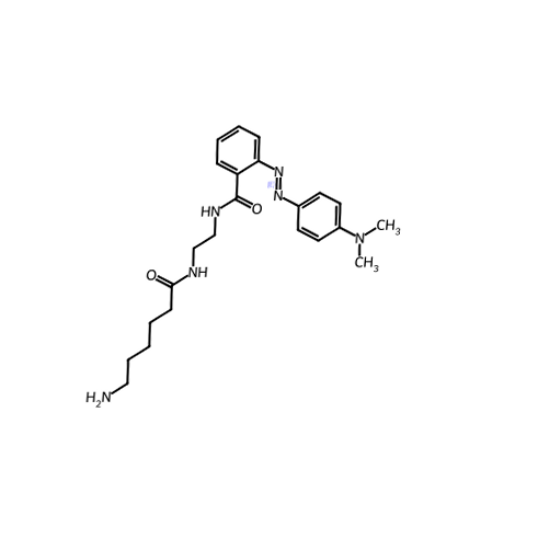 CN(C)c1ccc(/N=N/c2ccccc2C(=O)NCCNC(=O)CCCCCN)cc1